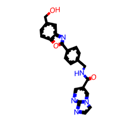 O=C(NCc1ccc(-c2nc3cc(CO)ccc3o2)cc1)c1cnc2nccn2c1